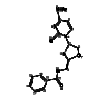 CC(=O)Nc1ccn(C2CO[C@@H](COC(=O)c3ccccc3)S2)c(=O)n1